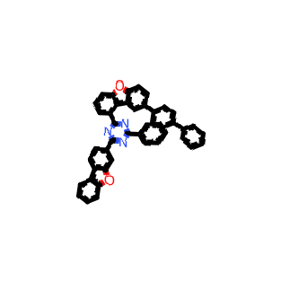 c1ccc(-c2ccc(-c3ccc4oc5cccc(-c6nc(-c7ccccc7)nc(-c7ccc8c(c7)oc7ccccc78)n6)c5c4c3)cc2)cc1